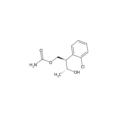 C[C@@H](O)[C@@H](COC(N)=O)c1ccccc1Cl